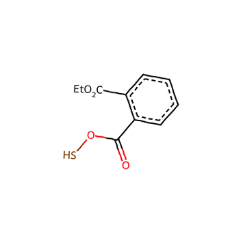 CCOC(=O)c1ccccc1C(=O)OS